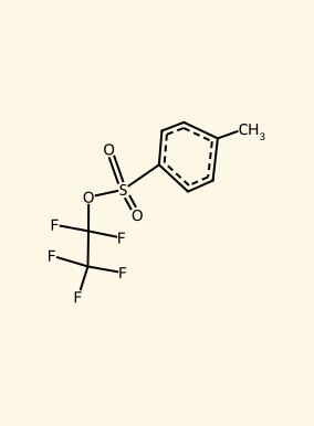 Cc1ccc(S(=O)(=O)OC(F)(F)C(F)(F)F)cc1